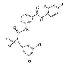 O=C(Nc1ccc(F)cc1F)c1cccc(NC(=O)[C@@H]2[C@@H](c3cc(Cl)cc(Cl)c3)C2(Cl)Cl)c1